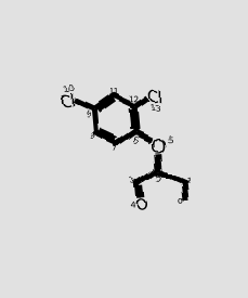 CCC(C=O)Oc1ccc(Cl)cc1Cl